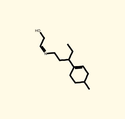 CCC(CC/N=C\CO)C1=CCC(C)CC1